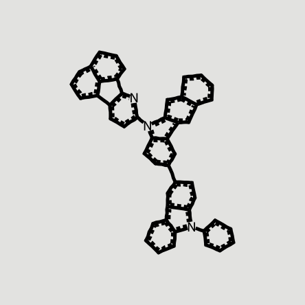 c1ccc(-n2c3ccccc3c3cc(-c4ccc5c(c4)c4cc6ccccc6cc4n5-c4ccc5c(n4)-c4cccc6cccc-5c46)ccc32)cc1